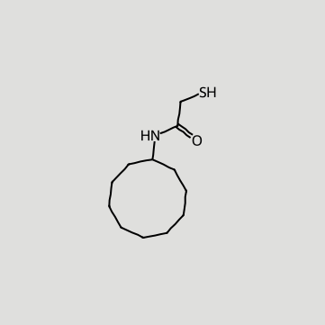 O=C(CS)NC1CCCCCCCCC1